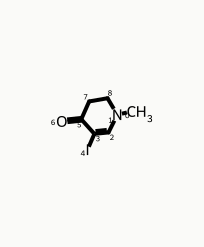 CN1C=C(I)C(=O)CC1